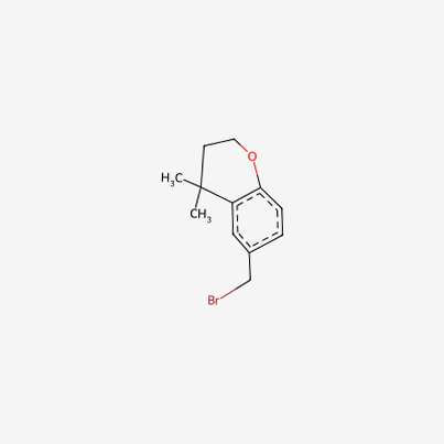 CC1(C)CCOc2ccc(CBr)cc21